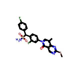 CSc1ncc2c(=O)n(-c3ccc(C(c4ccc(F)cc4)S(N)(=O)=O)c(F)c3)cc(C)c2n1